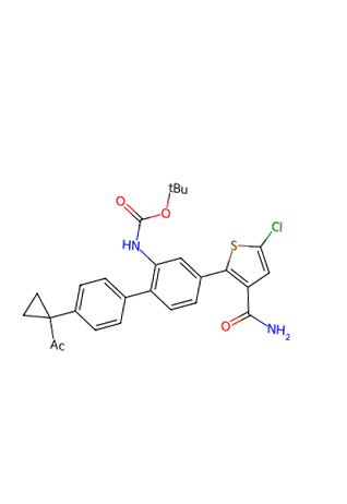 CC(=O)C1(c2ccc(-c3ccc(-c4sc(Cl)cc4C(N)=O)cc3NC(=O)OC(C)(C)C)cc2)CC1